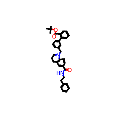 CC(C)(C)OC(=O)c1ccccc1-c1cccc(CN2CCCc3cc(C(=O)NCCc4ccccc4)ccc32)c1